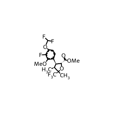 COC(=O)[C@@H]1O[C@@](C)(C(F)(F)F)[C@@H](C)[C@H]1c1ccc(OC(F)F)c(F)c1OC